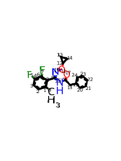 Cc1ccc(F)c(F)c1/C(=N/OC1CC1)NC(=O)Cc1ccccc1